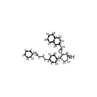 c1ccc(SCCCc2ccc(C3CCNCC3OCc3ccc4ccccc4c3)cc2)cc1